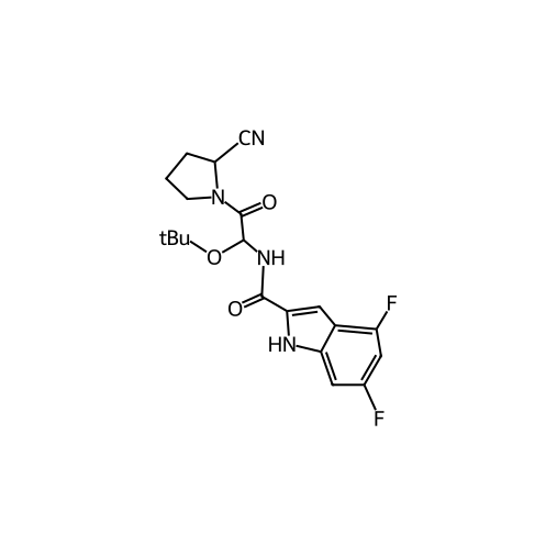 CC(C)(C)OC(NC(=O)c1cc2c(F)cc(F)cc2[nH]1)C(=O)N1CCCC1C#N